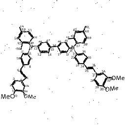 COc1ccc(/C=C/c2ccc(N(c3ccc(-c4ccc(N(c5ccc(/C=C/c6ccc(OC)c(OC)c6)cc5)c5ccc(C)cc5C)cc4)cc3)c3ccc(C)cc3C)cc2)cc1OC